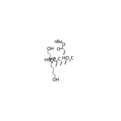 C=CC(=O)O.C=CC(=O)O.C=CC(=O)O.C=CC(=O)OCCCC.OCCCCCCCCO